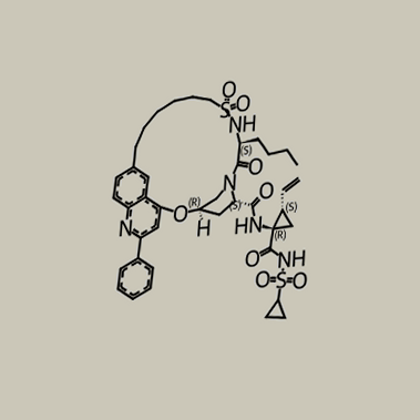 C=C[C@@H]1C[C@]1(NC(=O)[C@@H]1C[C@@H]2CN1C(=O)[C@H](CCCC)NS(=O)(=O)CCCCCCc1ccc3nc(-c4ccccc4)cc(c3c1)O2)C(=O)NS(=O)(=O)C1CC1